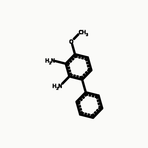 COc1ccc(-c2ccccc2)c(N)c1N